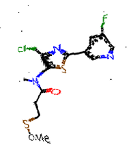 COSCCC(=O)N(C)c1sc(-c2cncc(F)c2)nc1Cl